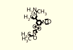 C=C/C(=C\N=C(/C)N)c1cc(N2CCOCC2)cc(S(=O)(=O)C2CN(C(=O)C(C)C)C2)c1